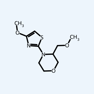 COCC1COCCN1c1nc(OC)cs1